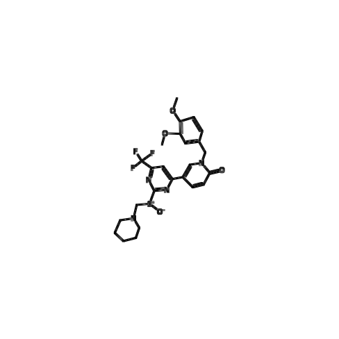 COc1ccc(Cn2cc(-c3cc(C(F)(F)F)nc([S+]([O-])CN4CCCCC4)n3)ccc2=O)cc1OC